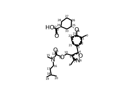 Cc1cc(-c2onc(C)c2COC(=O)N(C)CCC(C)C)ccc1O[C@H]1CCC[C@H](C(=O)O)C1